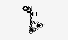 O=[N+]([O-])OCCN(CCCNc1cnc2ccccc2c1)CCO[N+](=O)[O-]